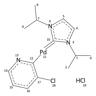 CC(C)n1ccn(C(C)C)[c]1=[Pd][c]1ncccc1Cl.Cl